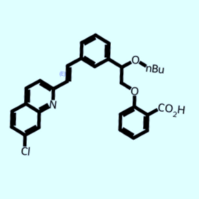 CCCCOC(COc1ccccc1C(=O)O)c1cccc(/C=C/c2ccc3ccc(Cl)cc3n2)c1